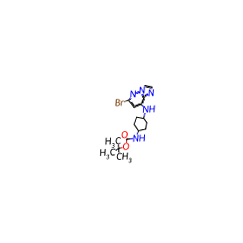 CC(C)(C)OC(=O)NC1CCC(Nc2cc(Br)nn3ccnc23)CC1